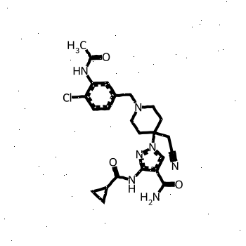 CC(=O)Nc1cc(CN2CCC(CC#N)(n3cc(C(N)=O)c(NC(=O)C4CC4)n3)CC2)ccc1Cl